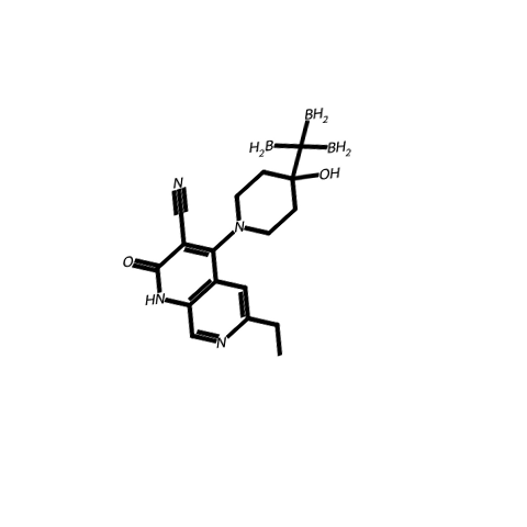 BC(B)(B)C1(O)CCN(c2c(C#N)c(=O)[nH]c3cnc(CC)cc23)CC1